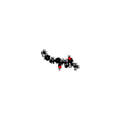 COCOc1cc(-c2ncn(-c3ccc(OC(F)(F)F)cc3)n2)ccc1NC(=O)N=C1SCC(=O)N1c1cc(C)ccc1COCC(F)(F)F